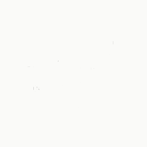 CC(N)c1ccc(OCC(F)F)c(CI)c1